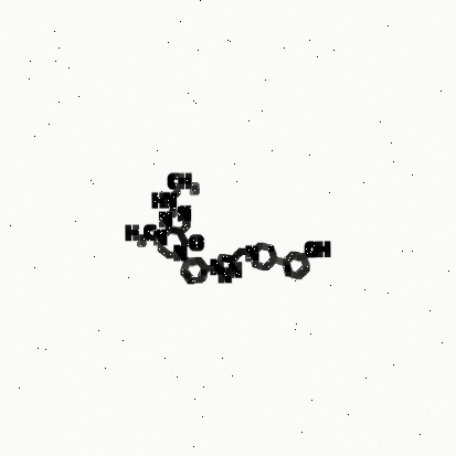 CCNc1ncc2c(n1)N(C)CCN(c1cccc(-n3cc(CN4CCC(c5cccc(O)c5)CC4)nn3)c1)C2=O